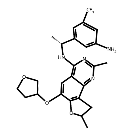 Cc1nc(N[C@H](C)c2cc(N)cc(C(F)(F)F)c2)c2cc(OC3CCOC3)c3c(c2n1)CC(C)O3